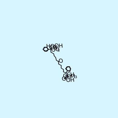 CC(CCCCCC(=O)CCCCCC(C)(OP(=O)(O)O)c1ccccc1)(OP(=O)(O)O)c1ccccc1